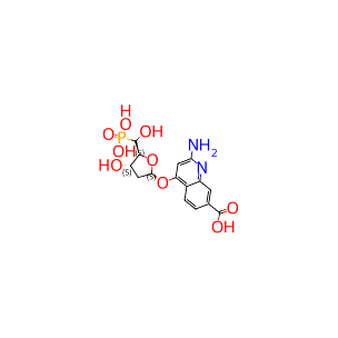 Nc1cc(O[C@H]2C[C@H](O)[C@@H](C(O)P(=O)(O)O)O2)c2ccc(C(=O)O)cc2n1